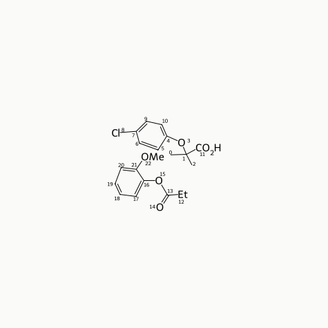 CC(C)(Oc1ccc(Cl)cc1)C(=O)O.CCC(=O)Oc1ccccc1OC